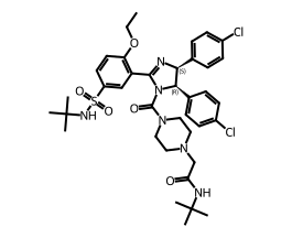 CCOc1ccc(S(=O)(=O)NC(C)(C)C)cc1C1=N[C@@H](c2ccc(Cl)cc2)[C@@H](c2ccc(Cl)cc2)N1C(=O)N1CCN(CC(=O)NC(C)(C)C)CC1